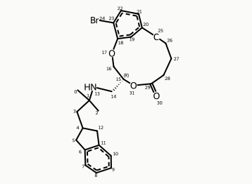 CC(C)(CC1Cc2ccccc2C1)NC[C@@H]1COc2cc(ccc2Br)CCCCC(=O)O1